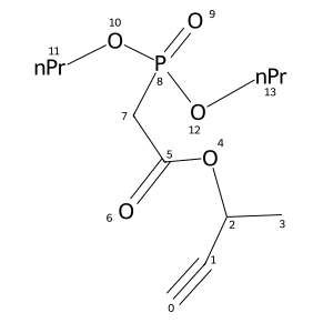 C#CC(C)OC(=O)CP(=O)(OCCC)OCCC